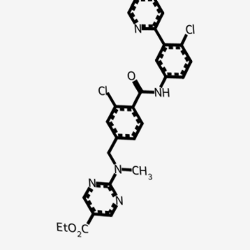 CCOC(=O)c1cnc(N(C)Cc2ccc(C(=O)Nc3ccc(Cl)c(-c4ccccn4)c3)c(Cl)c2)nc1